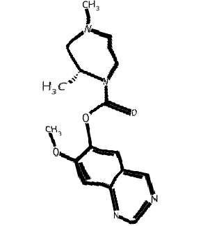 COc1cc2ncncc2cc1OC(=O)N1CCN(C)C[C@H]1C